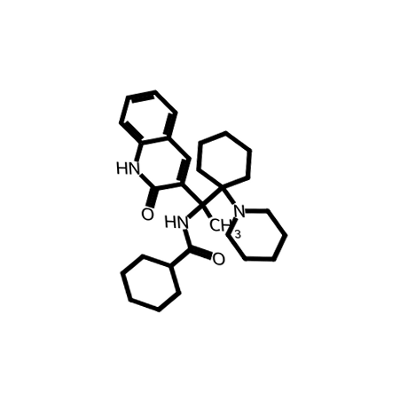 CC(NC(=O)C1CCCCC1)(c1cc2ccccc2[nH]c1=O)C1(N2CCCCC2)CCCCC1